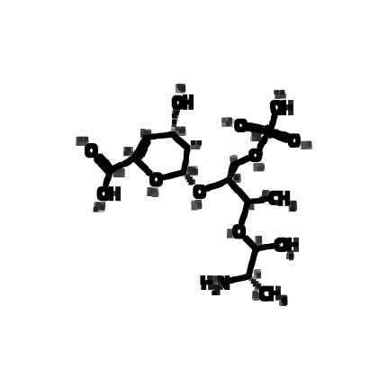 CC(OC(O)[C@H](C)N)[C@H](COS(=O)(=O)O)O[C@H]1C[C@@H](O)C=C(C(=O)O)O1